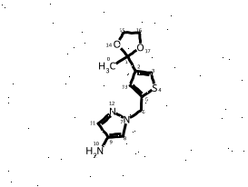 CC1(c2csc(Cn3cc(N)cn3)c2)OCCO1